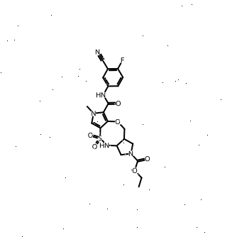 CCOC(=O)N1CC2COc3c(cn(C)c3C(=O)Nc3ccc(F)c(C#N)c3)S(=O)(=O)NC2C1